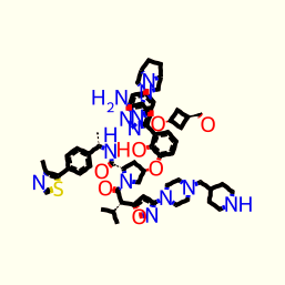 Cc1ncsc1-c1ccc([C@H](C)NC(=O)[C@@H]2C[C@@H](Oc3cccc(-c4cc(N5CC6CCC(C5)N6c5ccnc(O[C@H]6C[C@H](C=O)C6)c5)c(N)nn4)c3O)CN2C(=O)[C@H](c2cc(N3CCN(CC4CCNCC4)CC3)no2)C(C)C)cc1